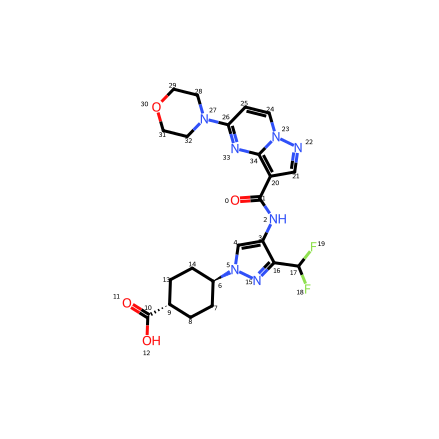 O=C(Nc1cn([C@H]2CC[C@H](C(=O)O)CC2)nc1C(F)F)c1cnn2ccc(N3CCOCC3)nc12